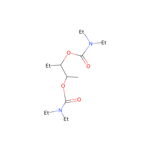 CCC(OC(=O)N(CC)CC)C(C)OC(=O)N(CC)CC